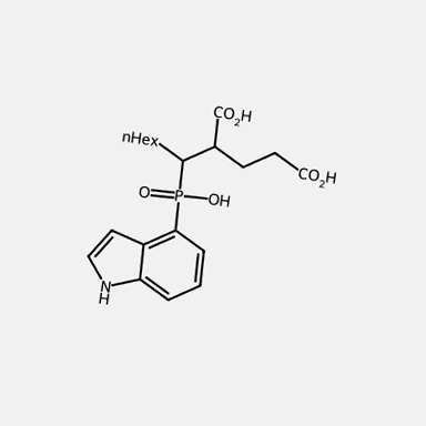 CCCCCCC(C(CCC(=O)O)C(=O)O)P(=O)(O)c1cccc2[nH]ccc12